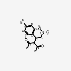 CC(=O)C(C(C)=O)C(C[N+](=O)[O-])c1ccc(Br)cc1